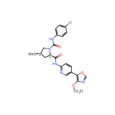 CCOC(=O)Oc1ncoc1-c1ccc(NC(=O)[C@H]2C[C@@H](OC)CN2C(=O)Nc2ccc(Cl)cc2)nc1